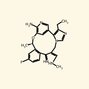 CCc1ncn2c1-c1cnc(N)c(c1)O[C@H](C)c1cc(F)ccc1C(=N)/C(=C\NC)C2